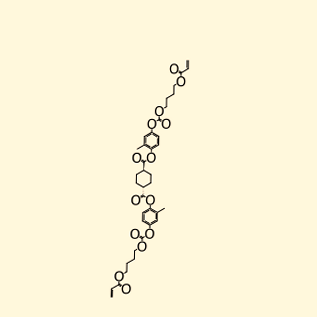 C=CC(=O)OCCCCOC(=O)Oc1ccc(OC(=O)[C@H]2CC[C@H](C(=O)Oc3ccc(OC(=O)OCCCCOC(=O)C=C)cc3C)CC2)c(C)c1